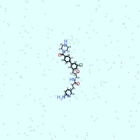 Nc1ccc(CCC(=O)NCC2Cc3cc(-c4ccc(C(=O)N5CCNCC5)cc4)cc(Cl)c3O2)cn1